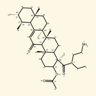 CCN(CCN)C(=O)[C@@]1(C)C(OC(C)=O)CC[C@@]2(C)C1CC[C@]1(C)C2C(=O)C=C2C3[C@@H](C)[C@H](C)CC[C@]3(C)CC[C@]21C